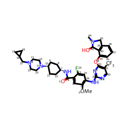 COc1cc(C(=O)N[C@H]2CC[C@H](N3CCN(CC4CC4)CC3)CC2)c(F)cc1Nc1ncc(C(F)(F)F)c(Oc2cccc3c2C(O)N(C)C3)n1